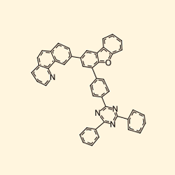 c1ccc(-c2nc(-c3ccccc3)nc(-c3ccc(-c4cc(-c5ccc6ccc7cccnc7c6c5)cc5c4oc4ccccc45)cc3)n2)cc1